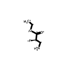 CCOC(=O)[C@H](F)CN